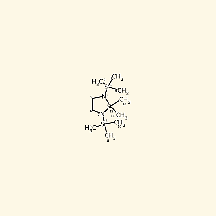 C[Si](C)(C)N1CCN([Si](C)(C)C)[Si]1(C)C